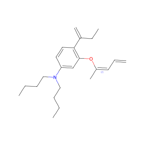 C=C/C=C(/C)Oc1cc(N(CCCC)CCCC)ccc1C(=C)CC